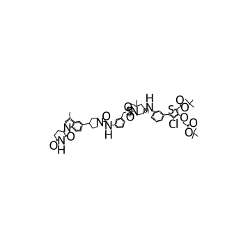 Cc1cn(C2CCC(=O)NC2=O)c2ccc(C3CCN(C(=O)Nc4cccc(CS(=O)(=O)N5CC[C@H](Nc6cccc(-c7sc(C(=O)OC(C)(C)C)c(OCC(=O)OC(C)(C)C)c7Cl)c6)CC5(C)C)c4)CC3)cc12